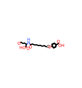 O=CCCC(NC(=O)CCCCCCCCCOc1ccc(C(=O)O)cc1)C(=O)O